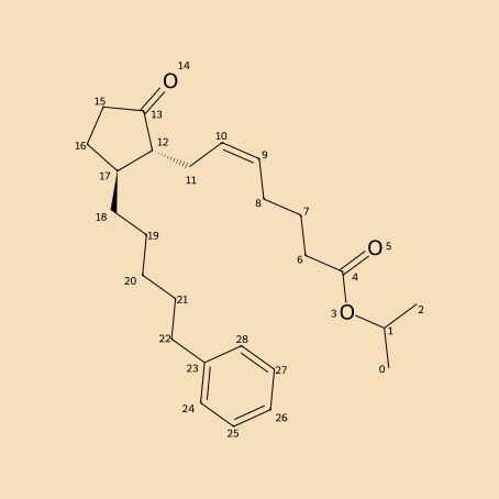 CC(C)OC(=O)CCC/C=C\C[C@H]1C(=O)CC[C@@H]1CCCCCc1ccccc1